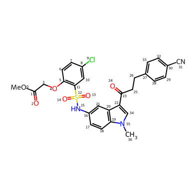 COC(=O)COc1ccc(Cl)cc1S(=O)(=O)Nc1ccc2c(c1)c(C(=O)CCc1ccc(C#N)cc1)cn2C